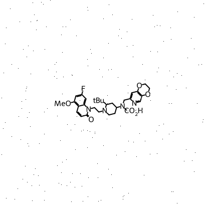 COc1cc(F)cc2c1ccc(=O)n2CCN1CCC(N(Cc2cc3c(cn2)OCCO3)C(=O)O)CC1C(C)(C)C